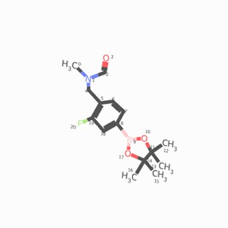 CN(C=O)Cc1ccc(B2OC(C)(C)C(C)(C)O2)cc1F